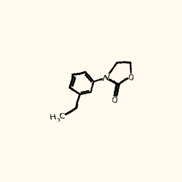 CCc1cccc(N2CCOC2=O)c1